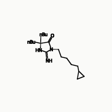 CCCCC1(CCCC)NC(=N)N(CCCCCC2CC2)C1=O